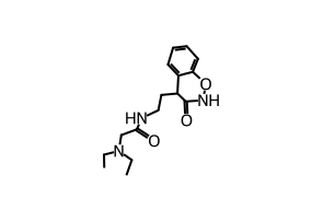 CCN(CC)CC(=O)NCCC1C(=O)NOc2ccccc21